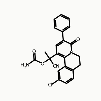 CC(C#N)(OC(N)=O)c1cc(-c2ccccc2)c(=O)n2c1-c1cc(Cl)ccc1CC2